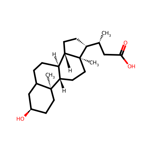 C[C@H](CC(=O)O)[C@H]1CC[C@H]2[C@@H]3CCC4C[C@H](O)CC[C@]4(C)[C@H]3CC[C@]12C